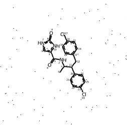 CC(NC(=O)c1c[nH]c(=O)[nH]1)C(Cc1ccc(Cl)cc1)c1ccc(Cl)cc1